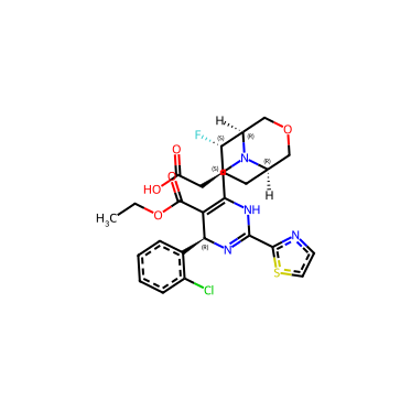 CCOC(=O)C1=C(CN2[C@H]3COC[C@@H]2[C@@H](F)[C@H](CC(=O)O)C3)NC(c2nccs2)=N[C@H]1c1ccccc1Cl